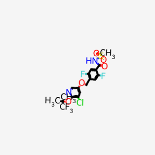 CC(C)(Oc1ncc(OCc2cc(F)c(C(=O)NS(C)(=O)=O)cc2F)cc1Cl)C(F)(F)F